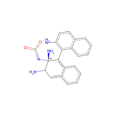 Nc1ccc2ccccc2c1C1=c2ccccc2=CC(N)[C@]1(N)N=S(=O)=O